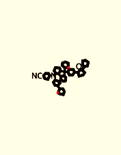 N#Cc1ccc(N(c2ccc(-c3ccccc3)cc2)c2cccc3c2-c2ccccc2C3(c2ccccc2)c2ccc(-c3cccc4c3oc3ccccc34)cc2)cc1